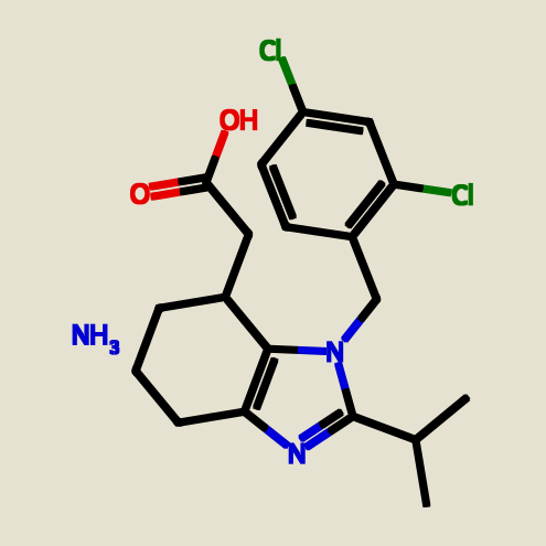 CC(C)c1nc2c(n1Cc1ccc(Cl)cc1Cl)C(CC(=O)O)CCC2.N